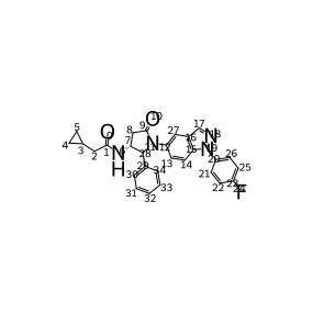 O=C(CC1CC1)N[C@@H]1CC(=O)N(c2ccc3c(cnn3-c3ccc(F)cc3)c2)[C@H]1c1ccccc1